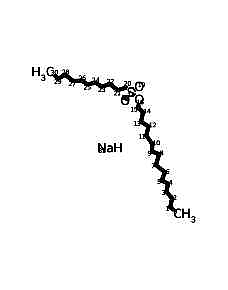 CCCCCCCCCCCCCCCCOS(=O)(=O)CCCCCCCCCCC.[NaH]